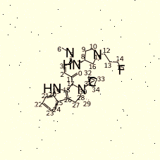 C=C(/C=C\C(=N/C)N[C@H]1CCN(CCCF)C1)[C@@H]1c2[nH]c3ccccc3c2C[C@@H](C)N1C12CC(C1)C2